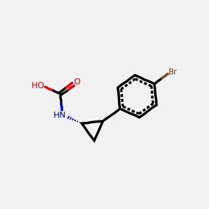 O=C(O)N[C@H]1CC1c1ccc(Br)cc1